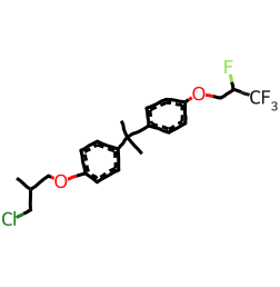 CC(CCl)COc1ccc(C(C)(C)c2ccc(OCC(F)C(F)(F)F)cc2)cc1